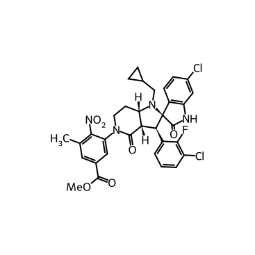 COC(=O)c1cc(C)c([N+](=O)[O-])c(N2CC[C@H]3[C@@H](C2=O)[C@H](c2cccc(Cl)c2F)[C@]2(C(=O)Nc4cc(Cl)ccc42)N3CC2CC2)c1